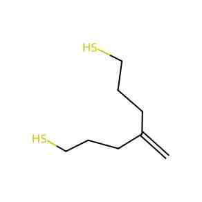 C=C(CCCS)CCCS